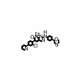 CCn1c(=O)c(-c2ccc(-c3ccccn3)cc2Cl)cc2cnc(Nc3ccc(C4CN(C)CCO4)cc3)nc21